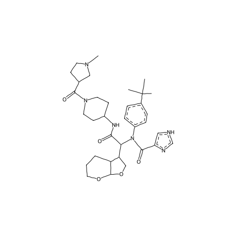 CN1CCC(C(=O)N2CCC(NC(=O)C(C3COC4OCCCC43)N(C(=O)c3c[nH]cn3)c3ccc(C(C)(C)C)cc3)CC2)C1